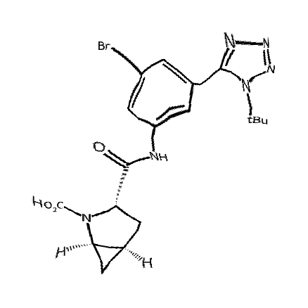 CC(C)(C)n1nnnc1-c1cc(Br)cc(NC(=O)[C@@H]2C[C@H]3C[C@H]3N2C(=O)O)c1